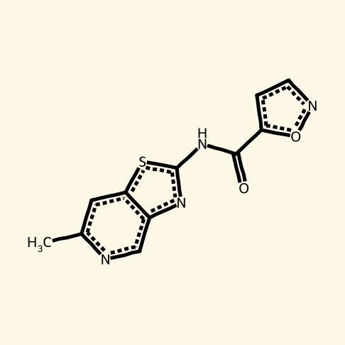 Cc1cc2sc(NC(=O)c3ccno3)nc2cn1